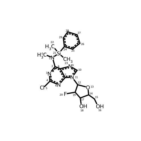 CN(c1nc(Cl)nc2c1ncn2C1OC(CO)C(O)C1F)[Si](C)(C)c1ccccc1